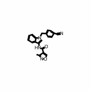 Cc1nocc1C(=O)Nc1cn(Cc2ccc(C#N)cc2)c2ccccc12